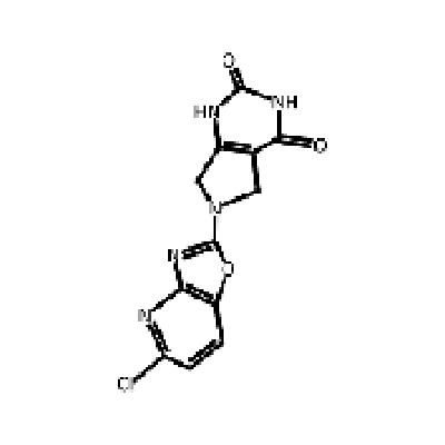 O=c1[nH]c2c(c(=O)[nH]1)CN(c1nc3nc(Cl)ccc3o1)C2